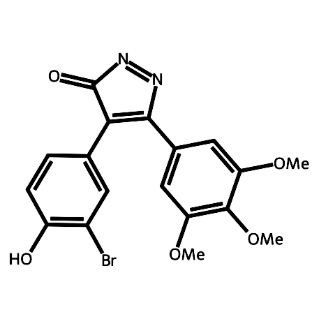 COc1cc(C2=C(c3ccc(O)c(Br)c3)C(=O)N=N2)cc(OC)c1OC